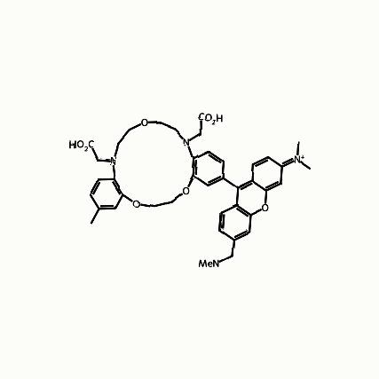 CNCc1ccc2c(-c3ccc4c(c3)OCCOc3cc(C)ccc3N(CC(=O)O)CCOCCN4CC(=O)O)c3ccc(=[N+](C)C)cc-3oc2c1